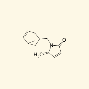 C=C1C=CC(=O)N1C[C@H]1CC2C=CC1C2